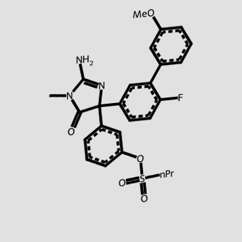 CCCS(=O)(=O)Oc1cccc(C2(c3ccc(F)c(-c4cccc(OC)c4)c3)N=C(N)N(C)C2=O)c1